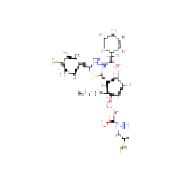 COc1c(OCC(=O)NCCF)cccc1C1SC(c2ccc(F)cc2)=NN1C(=O)C1CCCCC1